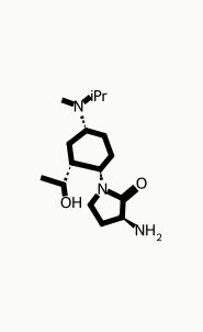 CC(O)[C@@H]1C[C@H](N(C)C(C)C)CC[C@@H]1N1CC[C@H](N)C1=O